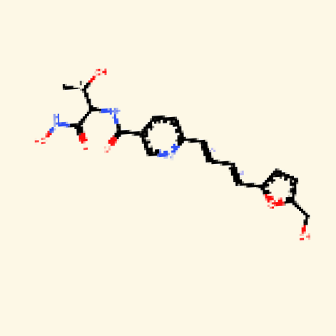 C[C@@H](O)C(NC(=O)c1ccc(/C=C/C=C/c2ccc(CO)o2)nc1)C(=O)NO